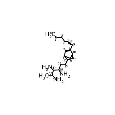 C=CCC/C=C\C1=CC2CC1CC2CCC(N)C(N)C(C)N